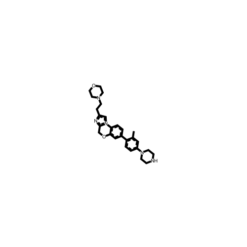 Cc1cc(N2CCNCC2)ccc1-c1ccc2c(c1)OCc1nc(CCN3CCOCC3)cn1-2